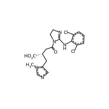 Cn1cncc1C[C@@H](CC(=O)N1CCN=C1Nc1c(Cl)cccc1Cl)C(=O)O